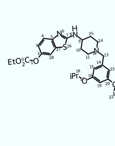 CCOC(=O)Oc1ccc2nc(NC3CCN(Cc4cc(OC(C)C)cc(OC(C)C)c4)CC3)sc2c1